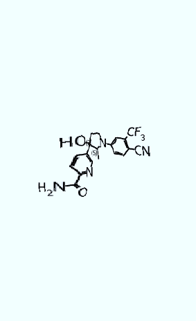 C[C@@H]1N(c2ccc(C#N)c(C(F)(F)F)c2)CC[C@@]1(O)c1ccc(C(N)=O)nc1